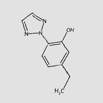 CCc1ccc(-n2nccn2)c(O)c1